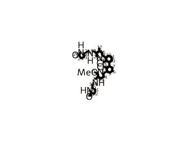 COc1nc(-c2cccc(-c3cccc(-c4cc(C)c(CNCC5CCC(=O)N5)cn4)c3Cl)c2Cl)ccc1CNCC1CCC(=O)N1